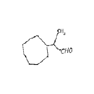 CC(C=O)C1CCCCCCC1